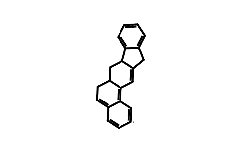 [c]1ccc2c(c1)=C1C=C3Cc4ccccc4C3CC1CC=2